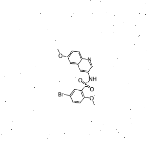 COc1ccc2ncc(NS(=O)(=O)c3cc(Br)ccc3OC)cc2c1